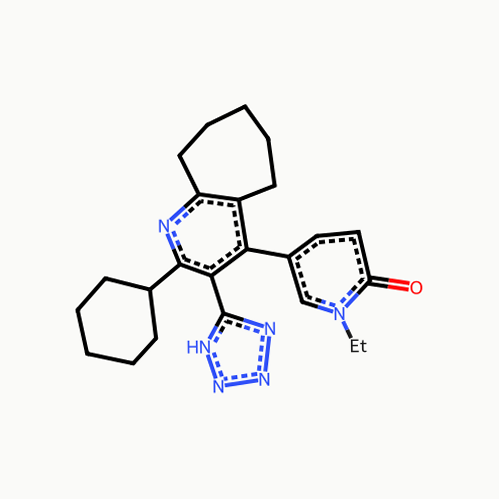 CCn1cc(-c2c3c(nc(C4CCCCC4)c2-c2nnn[nH]2)CCCCC3)ccc1=O